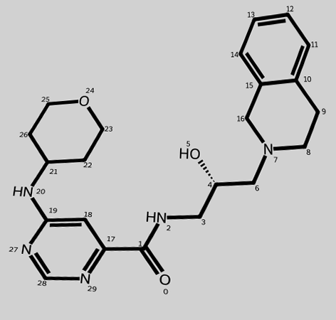 O=C(NC[C@H](O)CN1CCc2ccccc2C1)c1cc(NC2CCOCC2)ncn1